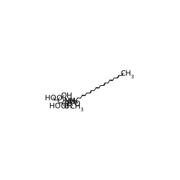 CCC=CCC=CCC=CCC=CCC=CCC=CCCC(=O)N[C@@H](C)C(=O)N[C@@H]1[C@@H](O)[C@H](O)[C@@H](CO)O[C@H]1O